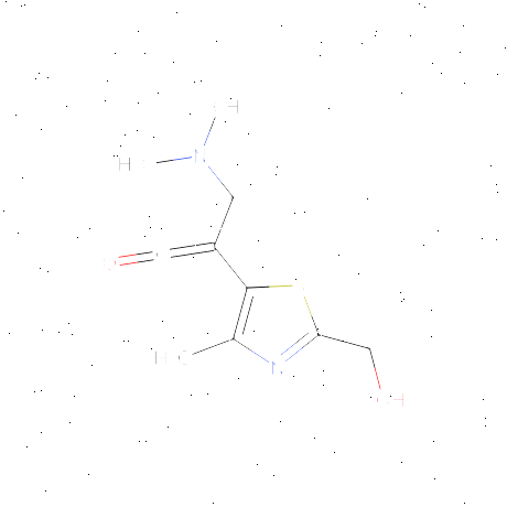 Cc1nc(CO)sc1C(=C=O)CN(C)C